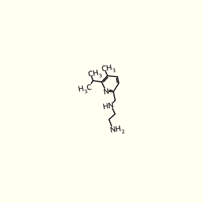 Cc1ccc(CNCCN)nc1C(C)C